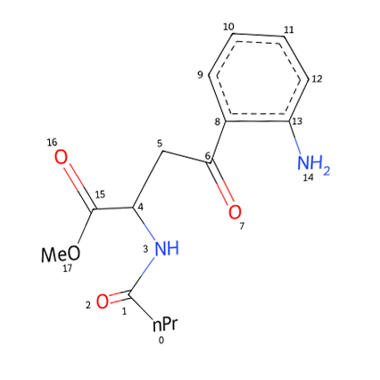 CCCC(=O)NC(CC(=O)c1ccccc1N)C(=O)OC